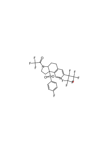 O=C(N1CCC2(S(=O)(=O)c3ccc(F)cc3)c3cnc(C(F)(C(F)(F)F)C(F)(F)F)cc3CCC12)C(F)(F)F